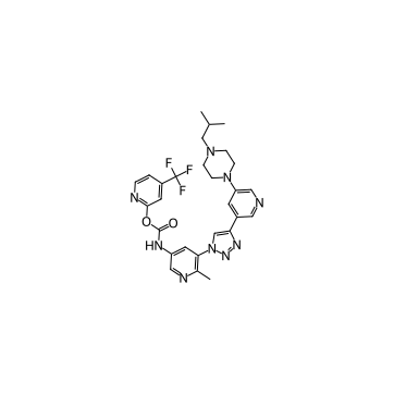 Cc1ncc(NC(=O)Oc2cc(C(F)(F)F)ccn2)cc1-n1cc(-c2cncc(N3CCN(CC(C)C)CC3)c2)nn1